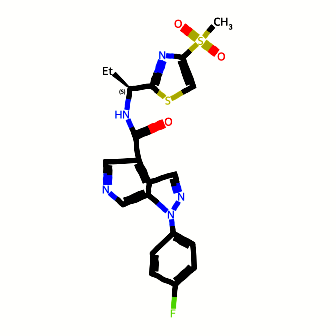 CC[C@H](NC(=O)c1cncc2c1cnn2-c1ccc(F)cc1)c1nc(S(C)(=O)=O)cs1